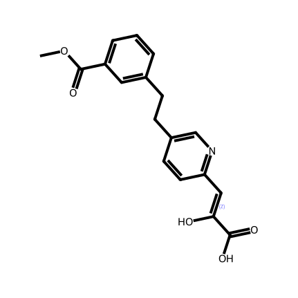 COC(=O)c1cccc(CCc2ccc(/C=C(\O)C(=O)O)nc2)c1